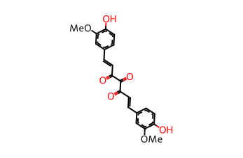 COc1cc(/C=C/C(=O)C(=O)C(=O)/C=C/c2ccc(O)c(OC)c2)ccc1O